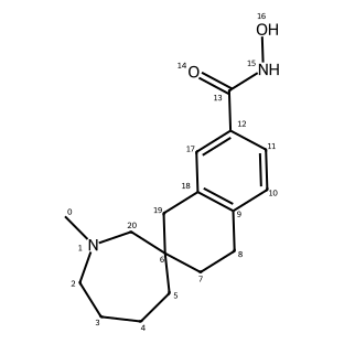 CN1CCCCC2(CCc3ccc(C(=O)NO)cc3C2)C1